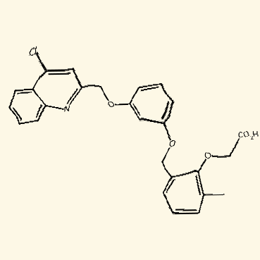 Cc1cccc(COc2cccc(OCc3cc(Cl)c4ccccc4n3)c2)c1OCC(=O)O